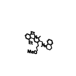 CCc1cccc(CC)c1-c1cc(CCCOC)c(CN(C)[C@@H]2CCCc3ccccc32)c(C)n1